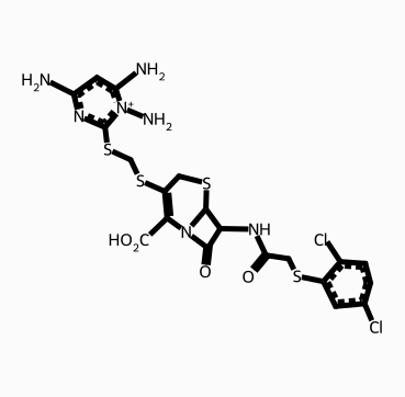 Nc1cc(N)[n+](N)c(SCSC2=C(C(=O)O)N3C(=O)C(NC(=O)CSc4cc(Cl)ccc4Cl)C3SC2)n1